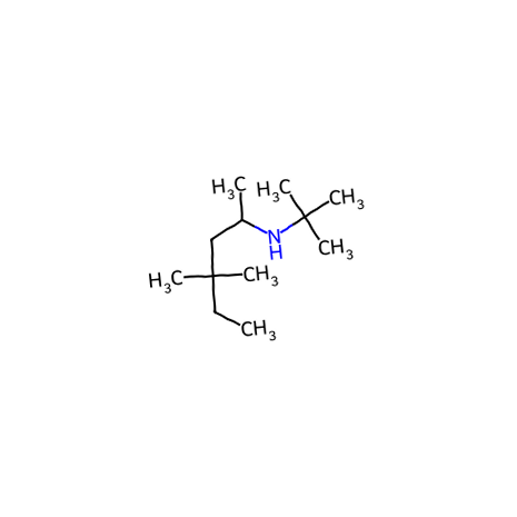 CCC(C)(C)CC(C)NC(C)(C)C